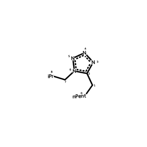 CCCCCCc1nnnn1CC(C)C